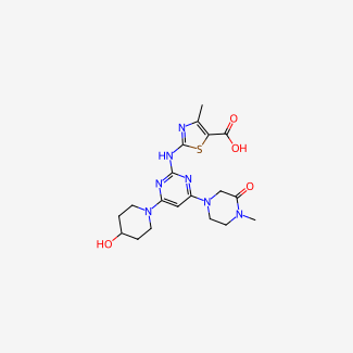 Cc1nc(Nc2nc(N3CCC(O)CC3)cc(N3CCN(C)C(=O)C3)n2)sc1C(=O)O